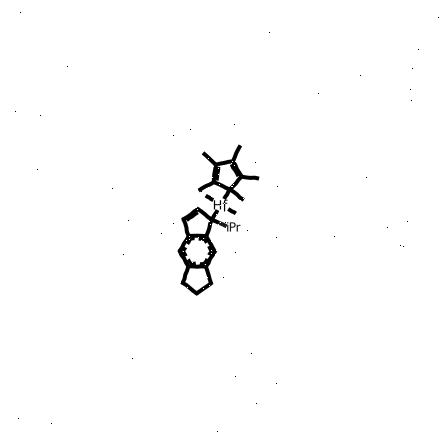 CC1=C(C)[C](C)([Hf]([CH3])([CH3])[C]2(C(C)C)C=Cc3cc4c(cc32)CCC4)C(C)=C1C